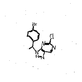 CC(c1ccc(Br)cc1)n1nnc2cnc(Cl)nc21